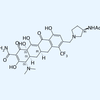 CC(=O)N[C@@H]1CCN(Cc2cc(O)c3c(c2C(F)(F)F)C[C@H]2C[C@H]4[C@H](N(C)C)C(O)=C(C(N)=O)C(=O)[C@@]4(O)C(O)=C2C3=O)C1